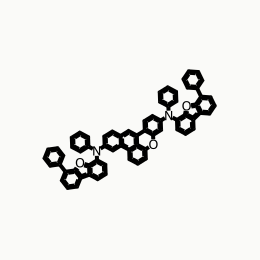 c1ccc(-c2cccc3c2oc2c(N(c4ccccc4)c4ccc5c(c4)Oc4cccc6c4c-5cc4ccc(N(c5ccccc5)c5cccc7c5oc5c(-c8ccccc8)cccc57)cc46)cccc23)cc1